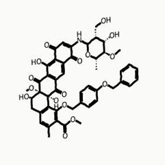 COC(=O)c1c(C)cc2c(c1OCc1ccc(OCc3ccccc3)cc1)[C@]1(O)C(=O)c3cc4c(c(O)c3C(=O)[C@]1(OC)[C@H](O)C2)C(=O)C=C(NC1O[C@@H](C)[C@H](OC)[C@@H](O)[C@H]1CO)C4=O